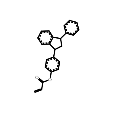 C=CC(=O)Oc1ccc(C2CC(c3ccccc3)c3ccccc32)cc1